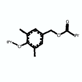 Cc1cc(COC(=O)C(C)C)cc(C)c1OC(C)C